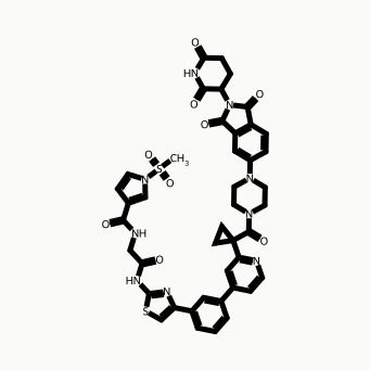 CS(=O)(=O)n1ccc(C(=O)NCC(=O)Nc2nc(-c3cccc(-c4ccnc(C5(C(=O)N6CCN(c7ccc8c(c7)C(=O)N(C7CCC(=O)NC7=O)C8=O)CC6)CC5)c4)c3)cs2)c1